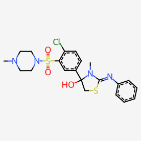 CN1CCN(S(=O)(=O)c2cc(C3(O)CSC(=Nc4ccccc4)N3C)ccc2Cl)CC1